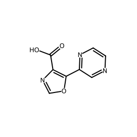 O=C(O)c1ncoc1-c1cnccn1